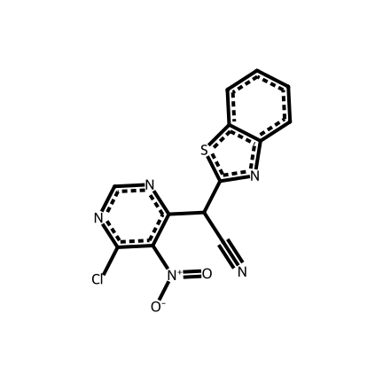 N#CC(c1nc2ccccc2s1)c1ncnc(Cl)c1[N+](=O)[O-]